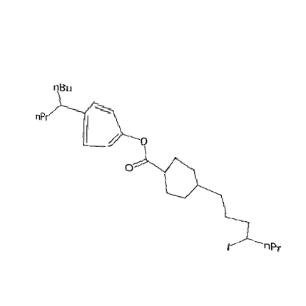 CCCCC(CCC)c1ccc(OC(=O)C2CCC(CCCC(I)CCC)CC2)cc1